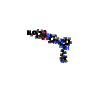 Cc1ccc(S(=O)(=O)NC[C@H]2CC[C@H](CNc3nc(NCCCn4ccnc4)c4ccccc4n3)CC2)cc1